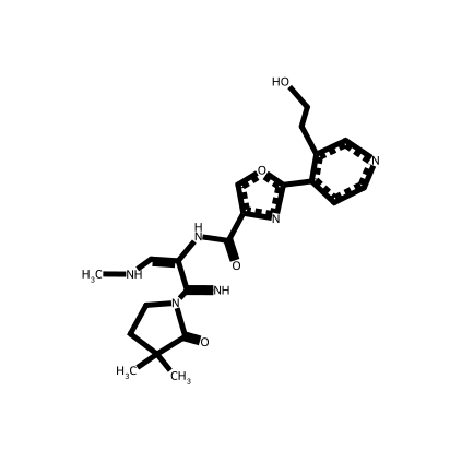 CN/C=C(/NC(=O)c1coc(-c2ccncc2CCO)n1)C(=N)N1CCC(C)(C)C1=O